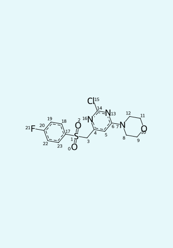 O=S(=O)(Cc1cc(N2CCOCC2)nc(Cl)n1)c1ccc(F)cc1